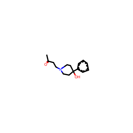 CC(=O)CCN1CCC(O)(c2ccccc2)CC1